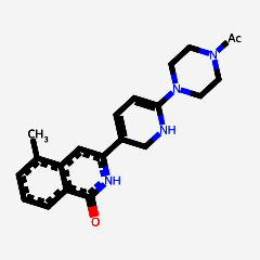 CC(=O)N1CCN(C2=CC=C(c3cc4c(C)cccc4c(=O)[nH]3)CN2)CC1